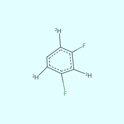 [2H]c1cc([2H])c(F)c([2H])c1F